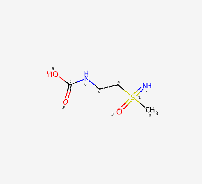 CS(=N)(=O)CCNC(=O)O